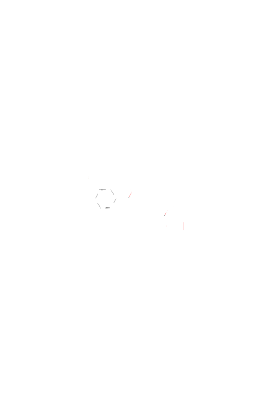 O=C(O)CCCC(=O)c1cccc(Br)c1